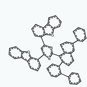 c1ccc(-c2ccc3c(-c4nc(-c5cccc6c5oc5ccccc56)cc(-c5cccc6c5oc5ccccc56)n4)c(-c4ccccc4-c4ccccc4)ccc3c2)cc1